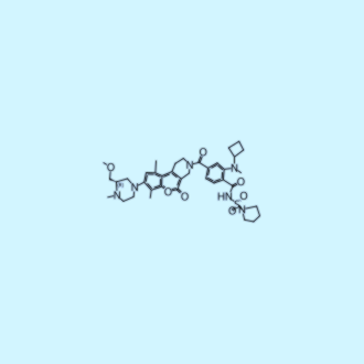 COC[C@H]1CN(c2cc(C)c3c4c(c(=O)oc3c2C)CN(C(=O)c2ccc(C(=O)NS(=O)(=O)N3CCCC3)c(N(C)C3CCC3)c2)CC4)CCN1C